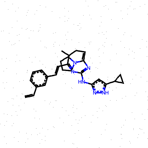 C=Cc1cccc(/C=C/C2=N/C(Nc3cc(C4CC4)[nH]n3)=N\C(N3CCCC3)=C\CC2C)c1